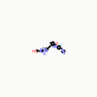 CCc1nn(CCC(C)(C)O)cc1Nc1ncc(C#Cc2cc(C(=O)Nc3ccc(CN4CCN(C)CC4)c(F)c3)ccc2C)cn1